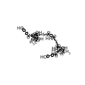 CC(=O)N[C@H]1[C@H]([C@H](O)[C@H](O)CNC(=O)c2ccc(-c3ccc(O)cc3)cc2)O[C@@](OCCCSCCNC(=O)c2ccc(C(=O)NCCSCCCO[C@]3(C(=O)O)C[C@H](O)[C@@H](NC(C)=O)[C@H]([C@H](O)[C@@H](O)CNC(=O)c4ccc(-c5ccc(O)cc5)cc4)O3)cc2)(C(=O)O)C[C@@H]1O